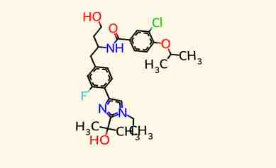 CCn1cc(-c2ccc(CC(CCO)NC(=O)c3ccc(OC(C)C)c(Cl)c3)cc2F)nc1C(C)(C)O